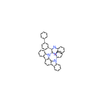 c1ccc(-c2cccc(-c3nc4ccccc4nc3-n3c4ccccc4c4ccc5c6ccccc6n(-c6ccccc6)c5c43)c2)cc1